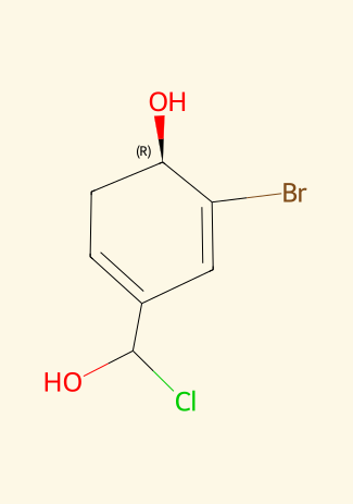 OC(Cl)C1=CC[C@@H](O)C(Br)=C1